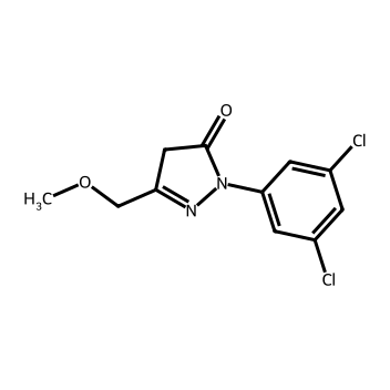 COCC1=NN(c2cc(Cl)cc(Cl)c2)C(=O)C1